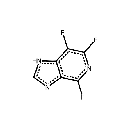 Fc1nc(F)c2nc[nH]c2c1F